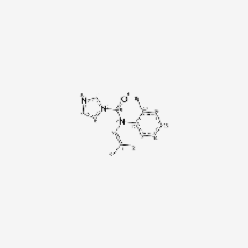 CC(C)=CN(C(=O)n1ccnc1)c1ccccc1C